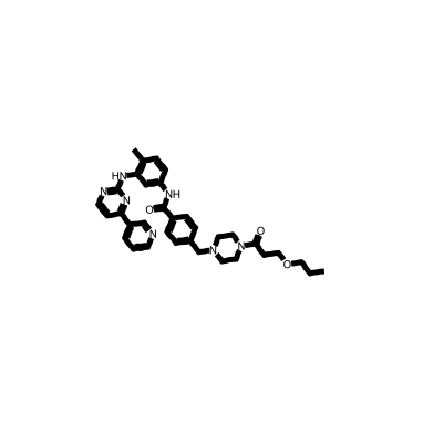 CCCOCCC(=O)N1CCN(Cc2ccc(C(=O)Nc3ccc(C)c(Nc4nccc(-c5cccnc5)n4)c3)cc2)CC1